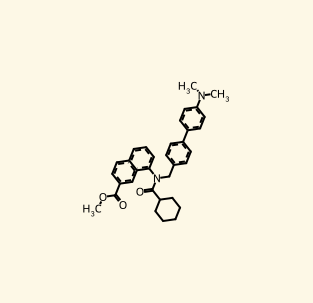 COC(=O)c1ccc2cccc(N(Cc3ccc(-c4ccc(N(C)C)cc4)cc3)C(=O)C3CCCCC3)c2c1